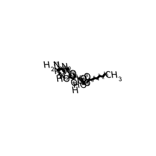 CCCCCCCC(=O)OP(=O)(O)OC[C@H]1O[C@@H](n2cnc3c(N)ncnc32)[C@H](O)[C@@H]1O